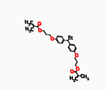 C=C(C)C(=O)OCCCOc1ccc(C(CC)c2ccc(OCCCOC(=O)C(=C)C)cc2)cc1